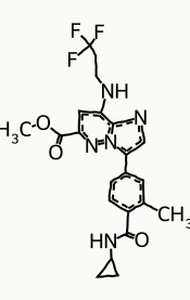 COC(=O)c1cc(NCCC(F)(F)F)c2ncc(-c3ccc(C(=O)NC4CC4)c(C)c3)n2n1